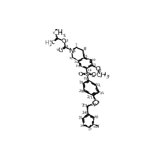 C=C(C)OC(=O)N1CCc2cc(OC)c(S(=O)(=O)c3ccc(OCc4cccc(F)c4)cc3)cc2C1